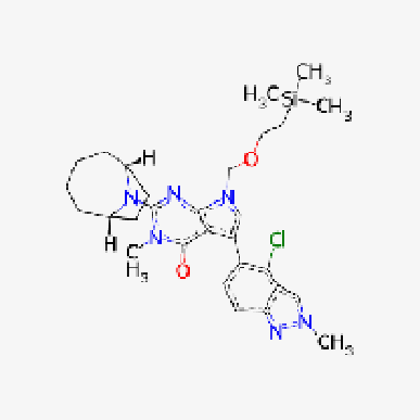 Cn1cc2c(Cl)c(-c3cn(COCC[Si](C)(C)C)c4nc(N5[C@@H]6CCCC[C@H]5CC6)n(C)c(=O)c34)ccc2n1